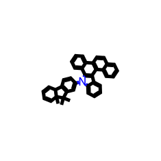 CC1(C)c2cc(-n3c4ccccc4c4c5c6ccccc6ccc5c5ccccc5c43)ccc2C2C=CC=CC21C